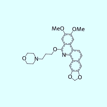 COc1cc2c(OCCCN3CCOCC3)nc3c4cc5c(cc4ccc3c2cc1OC)OCO5